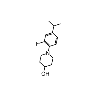 CC(C)c1ccc(N2CCC(O)CC2)c(F)c1